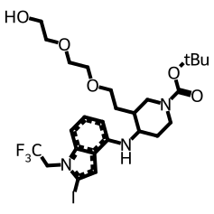 CC(C)(C)OC(=O)N1CCC(Nc2cccc3c2cc(I)n3CC(F)(F)F)C(CCOCCOCCO)C1